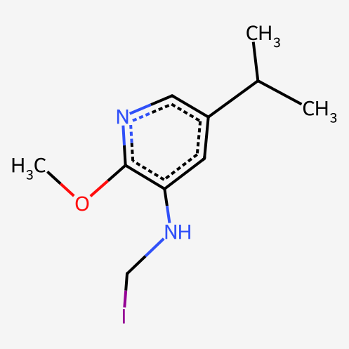 COc1ncc(C(C)C)cc1NCI